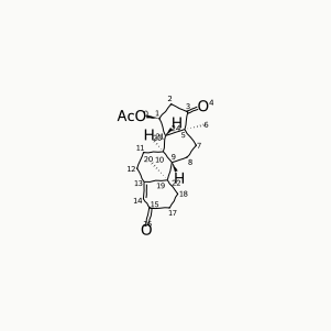 CC(=O)O[C@H]1CC(=O)[C@@]2(C)CC[C@H]3[C@@H](CCC4=CC(=O)CC[C@@]43C)[C@H]12